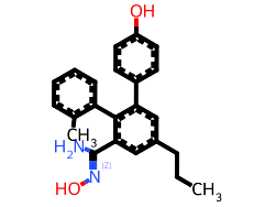 CCCc1cc(/C(N)=N/O)c(-c2ccccc2C)c(-c2ccc(O)cc2)c1